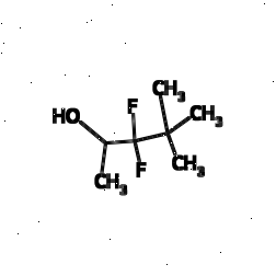 CC(O)C(F)(F)C(C)(C)C